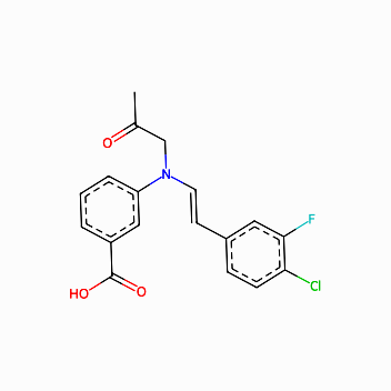 CC(=O)CN(C=Cc1ccc(Cl)c(F)c1)c1cccc(C(=O)O)c1